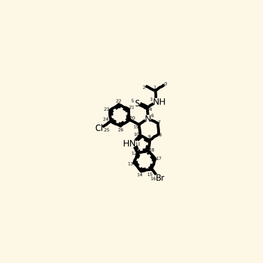 CC(C)NC(=S)N1CCc2c([nH]c3ccc(Br)cc23)C1c1cccc(Cl)c1